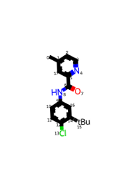 Cc1ccnc(C(=O)Nc2ccc(Cl)c(C(C)(C)C)c2)c1